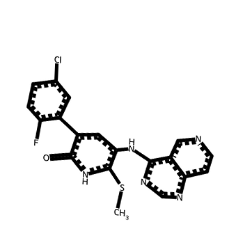 CSc1[nH]c(=O)c(-c2cc(Cl)ccc2F)cc1Nc1ncnc2ccncc12